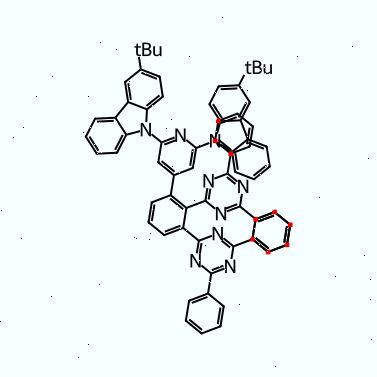 CC(C)(C)c1ccc2c(c1)c1ccccc1n2-c1cc(-c2cccc(-c3nc(-c4ccccc4)nc(-c4ccccc4)n3)c2-c2nc(-c3ccccc3)nc(-c3ccccc3)n2)cc(-n2c3ccccc3c3cc(C(C)(C)C)ccc32)n1